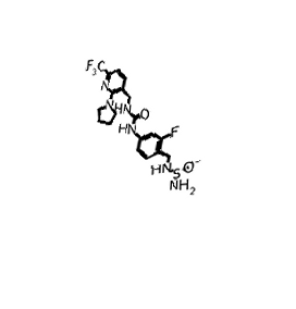 N[S+]([O-])NCc1ccc(NC(=O)NCc2ccc(C(F)(F)F)nc2N2CCCC2)cc1F